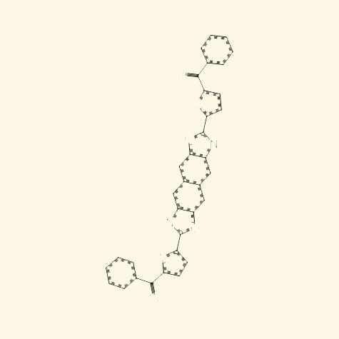 O=C(c1ccccc1)c1ccc(-c2nc3cc4cc5oc(-c6ccc(C(=O)c7ccccc7)s6)nc5cc4cc3o2)s1